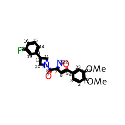 COc1ccc(-c2cc(C(=O)N3CC(c4cccc(F)c4)C3)no2)cc1OC